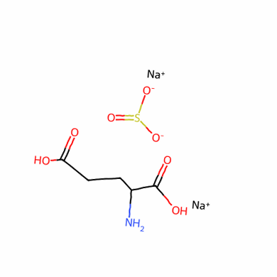 NC(CCC(=O)O)C(=O)O.O=S([O-])[O-].[Na+].[Na+]